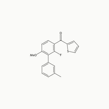 COc1ccc(C(=O)c2cccs2)c(F)c1-c1cccc(C)c1